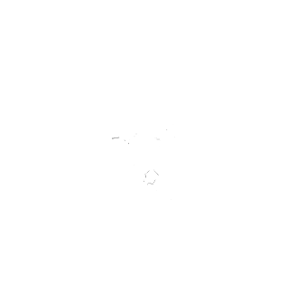 O=C(O)c1csc(SCCN2C(=O)OC[C@@H]2CC[C@H](O)C2(CCCCF)CCC2)n1